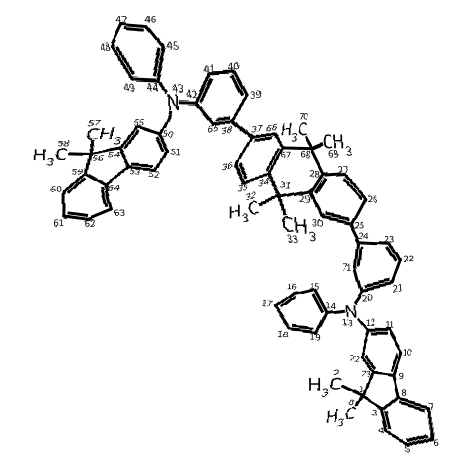 CC1(C)c2ccccc2-c2ccc(N(c3ccccc3)c3cccc(-c4ccc5c(c4)C(C)(C)c4ccc(-c6cccc(N(c7ccccc7)c7ccc8c(c7)C(C)(C)c7ccccc7-8)c6)cc4C5(C)C)c3)cc21